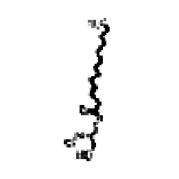 CCCCCCCCCCCCC(=O)OCCC(CO)N=O